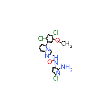 CCOc1cc(-c2cccc3nc(CC(=O)Nc4ccc(Cl)nc4N)cn23)c(Cl)cc1Cl